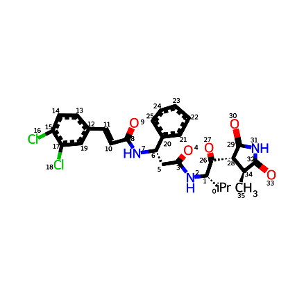 CC(C)[C@H](NC(=O)C[C@H](NC(=O)/C=C/c1ccc(Cl)c(Cl)c1)c1ccccc1)C(=O)[C@@H]1C(=O)NC(=O)[C@H]1C